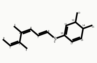 C\C=C(C)/C(C)=C\C=C\SC1=CC(C)C(C)C=C1